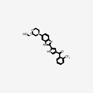 O=C(c1c[nH]c(-c2nc3ccc(N4CCO[C@@H](CO)C4)cc3[nH]2)c1)c1ccccc1C(F)(F)F